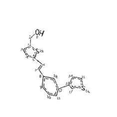 OCc1ccc(C=Cc2cccc(-c3ccsc3)c2)s1